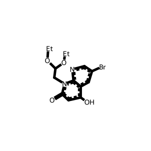 CCOC(Cn1c(=O)cc(O)c2cc(Br)cnc21)OCC